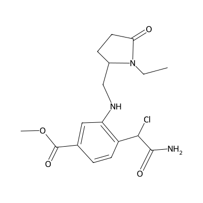 CCN1C(=O)CCC1CNc1cc(C(=O)OC)ccc1C(Cl)C(N)=O